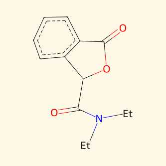 CCN(CC)C(=O)C1OC(=O)c2ccccc21